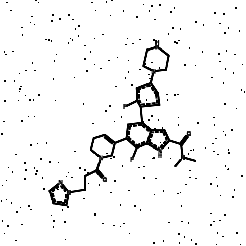 CN(C)C(=O)c1cc2c(-c3ccc(N4CCNCC4)cc3F)cc(C3=CCCN(C(=O)CCn4cccn4)C3)c(F)c2[nH]1